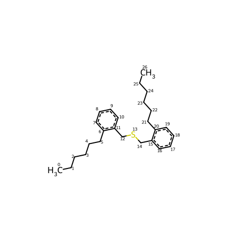 CCCCCCc1ccccc1CSCc1ccccc1CCCCCC